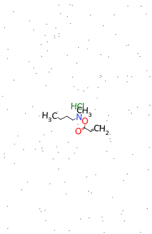 C=CC(=O)ON(C)CCCC.Cl